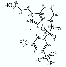 CC(C)S(=O)(=O)c1cc(C(F)(F)F)cc(S(=O)(=O)N(C)C2CCCc3c2cnn3CCC(=O)O)c1